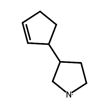 C1=CC(C2CC[N]C2)CC1